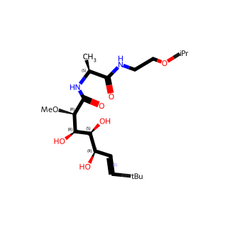 CO[C@@H](C(=O)N[C@@H](C)C(=O)NCCOC(C)C)[C@H](O)[C@@H](O)[C@H](O)/C=C/C(C)(C)C